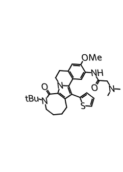 COc1cc2c(cc1NC(=O)CN(C)C)-c1c(-c3cccs3)c3c(n1CC2)C(=O)N(C(C)(C)C)CCCC3